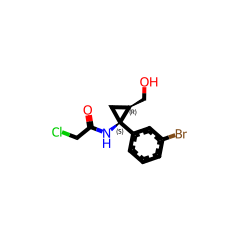 O=C(CCl)N[C@@]1(c2cccc(Br)c2)C[C@H]1CO